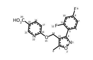 Cc1onc(-c2ccc(F)cc2F)c1COc1ccc(C(=O)O)cn1